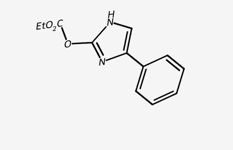 CCOC(=O)Oc1nc(-c2ccccc2)c[nH]1